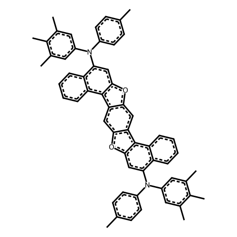 Cc1ccc(N(c2cc(C)c(C)c(C)c2)c2cc3oc4cc5c(cc4c3c3ccccc23)oc2cc(N(c3ccc(C)cc3)c3cc(C)c(C)c(C)c3)c3ccccc3c25)cc1